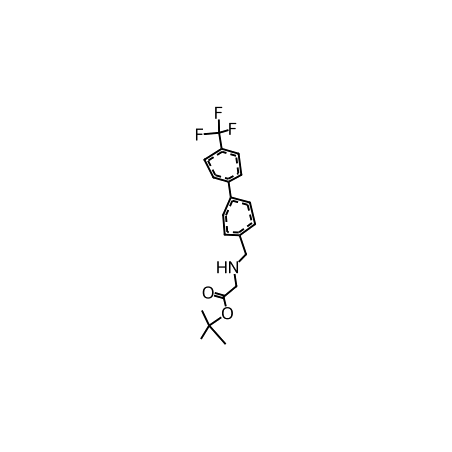 CC(C)(C)OC(=O)CNCc1ccc(-c2ccc(C(F)(F)F)cc2)cc1